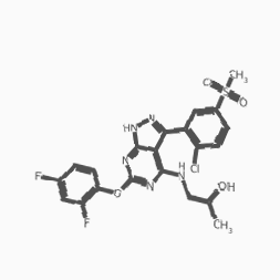 CC(O)CNc1nc(Oc2ccc(F)cc2F)nc2[nH]nc(-c3cc(S(C)(=O)=O)ccc3Cl)c12